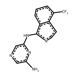 Nc1cncc(Nc2nccc3c(C(F)(F)F)cccc23)n1